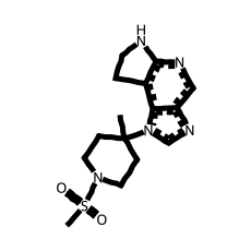 CC1(n2cnc3cnc4c(c32)CCN4)CCN(S(C)(=O)=O)CC1